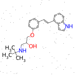 CC(C)(C)NCC(O)COc1cccc(/C=C/c2cccc3[nH]ccc23)c1